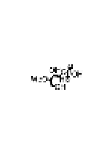 CO[C@H](CO)[C@@H](O)COP(=O)(O)O